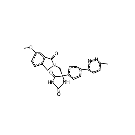 COc1ccc2c(c1)C(=O)N(C[C@@]1(c3ccc(-c4ccc(C)nn4)cc3)NC(=O)NC1=O)C2